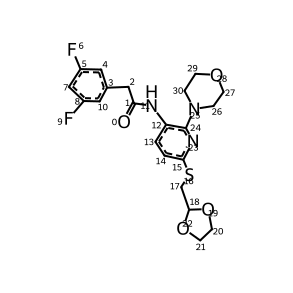 O=C(Cc1cc(F)cc(F)c1)Nc1ccc(SCC2OCCO2)nc1N1CCOCC1